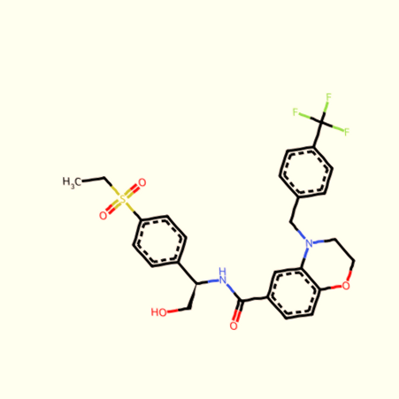 CCS(=O)(=O)c1ccc([C@H](CO)NC(=O)c2ccc3c(c2)N(Cc2ccc(C(F)(F)F)cc2)CCO3)cc1